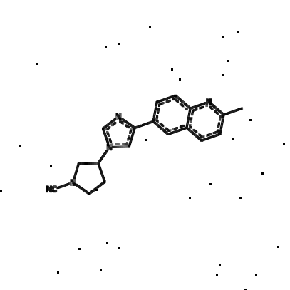 Cc1ccc2cc(-c3cn(C4CCN(C#N)C4)cn3)ccc2n1